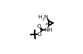 CC(C)(C)OC(=O)N[C@@H]1CC1N